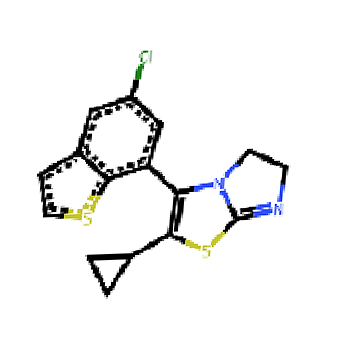 Clc1cc(C2=C(C3CC3)SC3=NCCN32)c2sccc2c1